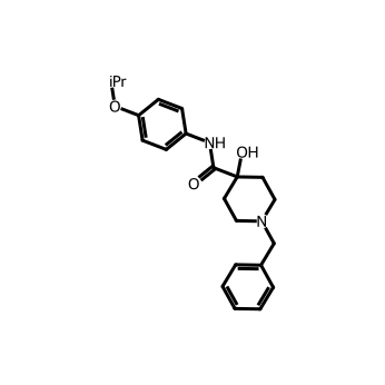 CC(C)Oc1ccc(NC(=O)C2(O)CCN(Cc3ccccc3)CC2)cc1